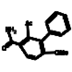 COc1ccc(C(N)=O)c(C(C)=O)c1-c1ccccc1